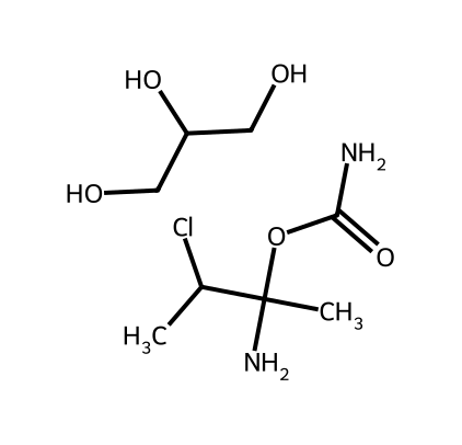 CC(Cl)C(C)(N)OC(N)=O.OCC(O)CO